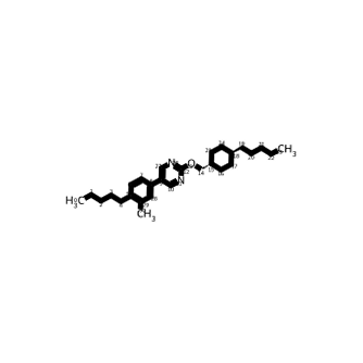 CCCCCc1ccc(-c2cnc(OC[C@H]3CC[C@H](CCCCC)CC3)nc2)cc1C